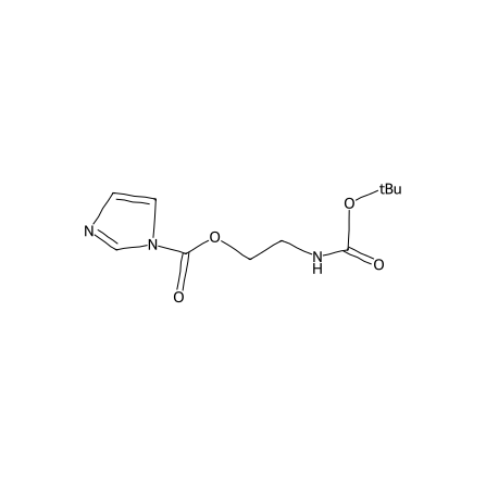 CC(C)(C)OC(=O)NCCOC(=O)n1ccnc1